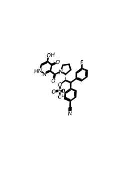 CS(=O)(=O)OC(C(c1ccc(C#N)cc1)c1cccc(F)c1)[C@H]1CCCN1C(=O)c1n[nH]cc(O)c1=O